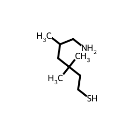 CC(CN)CC(C)(C)CCS